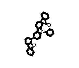 O=C1c2ccccc2-c2ccc3c4cc(-c5cccc6c5oc5ccccc56)ccc4n(-c4ccccc4)c3c21